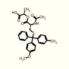 COc1ccc(C(SC[C@H](NC(C)=O)C(=O)O[C@H](C)C(=O)O)(c2ccccc2)c2ccc(C)cc2)cc1